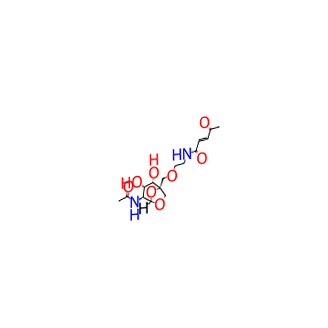 CC(=O)/C=C/C(=O)NCCOC[C@@]12CO[C@@H](O1)[C@@H](NC(C)=O)[C@@H](O)[C@@H]2O